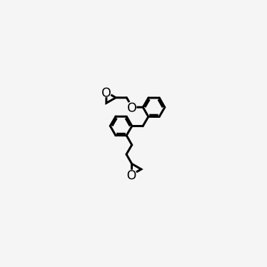 c1ccc(Cc2ccccc2OCC2CO2)c(CCC2CO2)c1